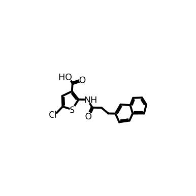 O=C(CCc1ccc2ccccc2c1)Nc1sc(Cl)cc1C(=O)O